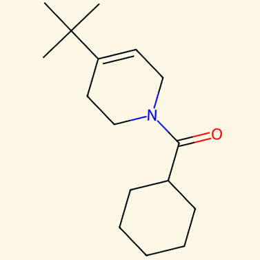 CC(C)(C)C1=CCN(C(=O)C2CCCCC2)CC1